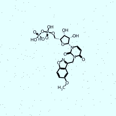 COc1ccc2onc(Cn3c(=O)ccn([C@@H]4O[C@H](COP(=O)(O)OP(=O)(O)O)[C@H](O)[C@@H]4O)c3=O)c2c1